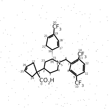 O=C(O)C1(C2CCN(Cc3cc(C(F)(F)F)ccc3C(F)(F)F)[C@@H](C3C=CC(C(F)(F)F)=CC3)C2)CC=CC1